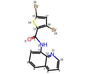 O=C(Nc1cccc2cccnc12)c1sc(Br)cc1Br